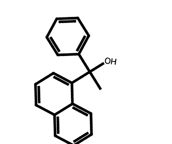 CC(O)(c1ccccc1)c1cccc2ccccc12